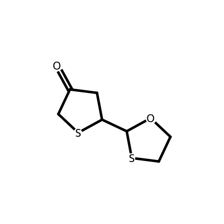 O=C1CSC(C2OCCS2)C1